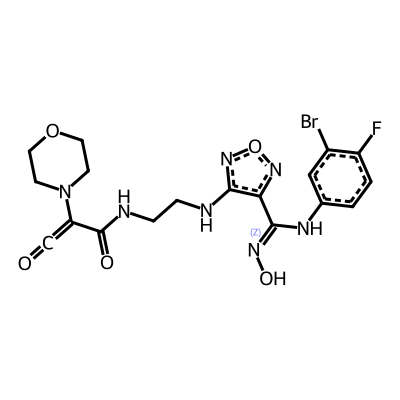 O=C=C(C(=O)NCCNc1nonc1/C(=N/O)Nc1ccc(F)c(Br)c1)N1CCOCC1